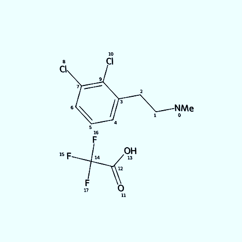 CNCCc1cccc(Cl)c1Cl.O=C(O)C(F)(F)F